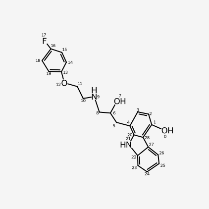 Oc1ccc(CC(O)CNCCOc2ccc(F)cc2)c2[nH]c3ccccc3c12